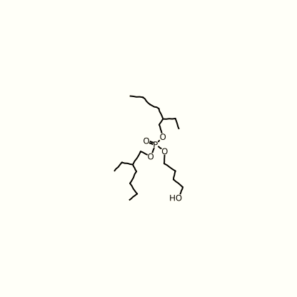 CCCCC(CC)COP(=O)(OCCCCO)OCC(CC)CCCC